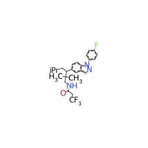 CC(C)CC(c1ccc2c(cnn2-c2ccc(F)cc2)c1)C(C)(C)CNC(=O)CC(F)(F)F